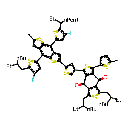 CCCCCC(CC)c1sc(-c2c3cc(-c4cc(-c5sc(-c6ccc(C)s6)c6c5C(=O)c5c(CC(CC)CCCC)sc(CC(CC)CCCC)c5C6=O)cs4)sc3c(-c3cc(F)c(CC(CC)CCCC)s3)c3cc(C)sc23)cc1F